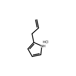 C=CCc1ccc[nH]1.Cl